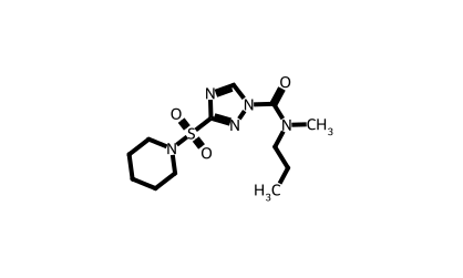 CCCN(C)C(=O)n1cnc(S(=O)(=O)N2CCCCC2)n1